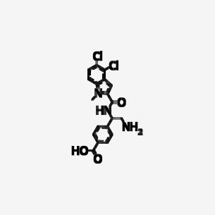 Cn1c(C(=O)NC(CN)c2ccc(C(=O)O)cc2)cc2c(Cl)c(Cl)ccc21